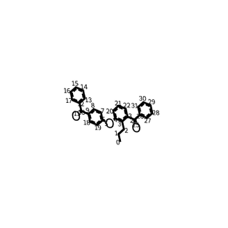 CCCc1c(Oc2ccc(C(=O)c3ccccc3)cc2)cccc1C(=O)c1ccccc1